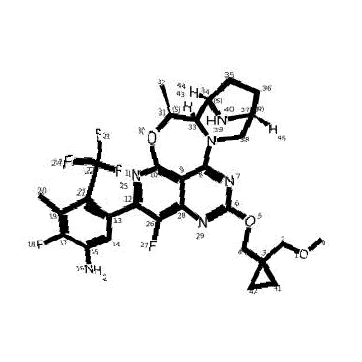 COCC1(COc2nc3c4c(nc(-c5cc(N)c(F)c(C)c5C(F)(F)F)c(F)c4n2)O[C@@H](C)[C@@H]2[C@@H]4CC[C@H](CN32)N4)CC1